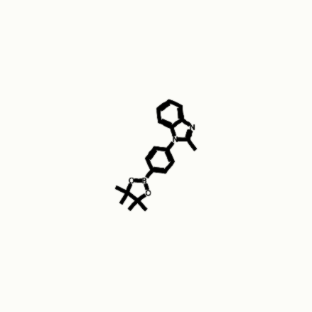 Cc1nc2ccccc2n1-c1ccc(B2OC(C)(C)C(C)(C)O2)cc1